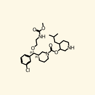 COC(=O)NCCO[C@@H](c1cccc(Cl)c1)[C@@H]1CCCN(C(=O)OC2CNCCC2CC(C)C)C1